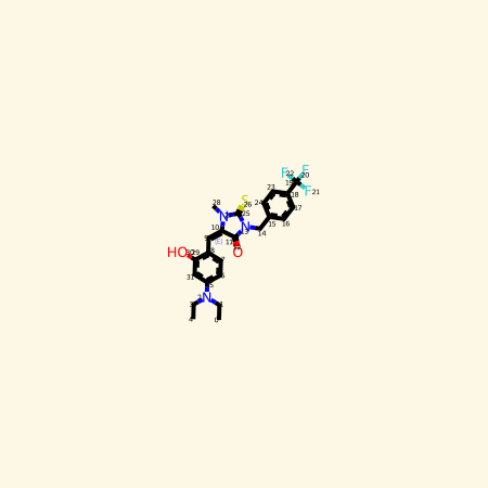 CCN(CC)c1ccc(/C=C2\C(=O)N(Cc3ccc(C(F)(F)F)cc3)C(=S)N2C)c(O)c1